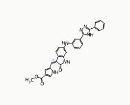 COC(=O)c1c[nH]c(/C=C2\C(=O)Nc3cc(Nc4cccc(-c5nnc(-c6ccccc6)[nH]5)c4)ccc32)c1